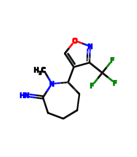 CN1C(=N)CCCCC1c1conc1C(F)(F)F